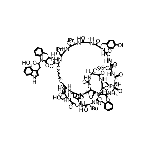 CC[C@H](C)[C@@H]1NC(=O)CNC(=O)[C@H](CC(C)C)NC(=O)[C@@H]2CSSC[C@@H]3NC(=O)CNC(=O)[C@H](C)NC(=O)[C@H](Cc4ccccc4)NC(=O)[C@H](CC(=O)N2)NC(=O)[C@H](CC(N)=O)NC(=O)[C@H](CSSC[C@@H](C(=O)N[C@@H](Cc2ccccc2)C(=O)N[C@@H](Cc2c[nH]c4ccccc24)C(=O)O)NC(=O)[C@H](C(C)C)NC(=O)[C@H](C(C)C)NC(=O)[C@H](C)NC(=O)[C@H](Cc2ccc(O)cc2)NC(=O)CNC3=O)NC(=O)[C@H](CO)NC(=O)CNC1=O